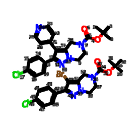 CC(C)(C)OC(=O)N1CCn2nc(-c3ccc(Cl)cc3)c(-c3ccncc3)c2C1.CC(C)(C)OC(=O)N1CCn2nc(-c3ccc(Cl)cc3)c(Br)c2C1